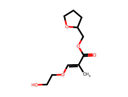 CC(=COCCO)C(=O)OCC1CCCO1